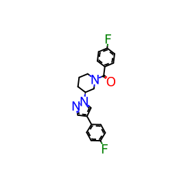 O=C(c1ccc(F)cc1)N1CCC[C@H](n2cc(-c3ccc(F)cc3)cn2)C1